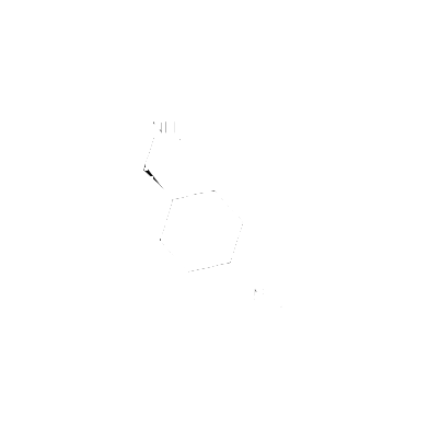 NC[C@H]1CC[C@H](N)CC1